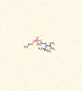 CCOOP(C)(=O)SCCN(C(C)C)C(C)C